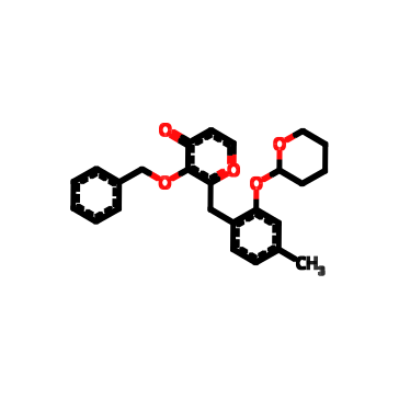 Cc1ccc(Cc2occc(=O)c2OCc2ccccc2)c(OC2CCCCO2)c1